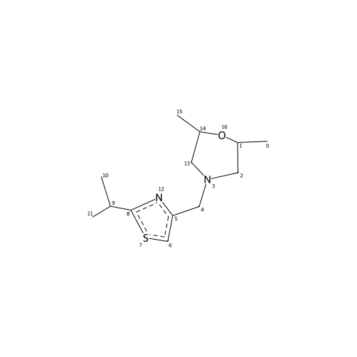 CC1CN(Cc2csc(C(C)C)n2)CC(C)O1